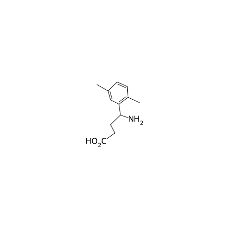 Cc1ccc(C)c(C(N)CCC(=O)O)c1